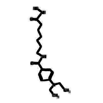 CCN(CC)c1ccc(C(=O)NCCCCCCC(=O)NO)cc1